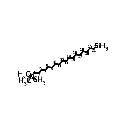 C[Si](C)(C)CCCCCCCCCCCCCCCCCC[SiH3]